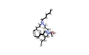 CCCCCN(CCCCC)CCC[N+](CC)(CCCCC)CCCCC.[Br-]